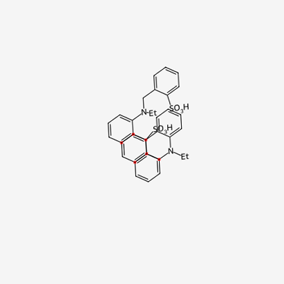 CCN(Cc1ccccc1S(=O)(=O)O)c1ccccc1C(c1ccccc1)c1ccccc1N(CC)Cc1ccccc1S(=O)(=O)O